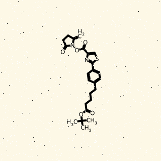 C=C1CCC(=O)N1OC(=O)c1csc(-c2ccc(CCCCC(=O)OC(C)(C)C)cc2)n1